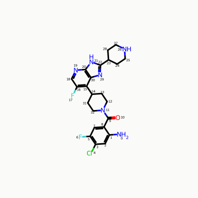 Nc1cc(Cl)c(F)cc1C(=O)N1CCC(c2c(F)cnc3[nH]c(C4CCNCC4)nc23)CC1